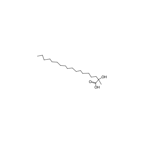 CCCCCCCCCCCCCCCCC(C)(O)C(=O)O